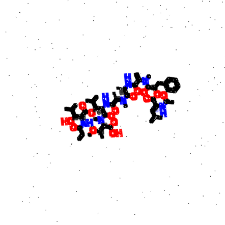 C=C(C(=O)N[C@@H](C)C(=O)N(C)[C@@H](C)C(=O)N[C@H](C(=O)N(C)[C@H](C(=O)O)[C@@H](C)OC)[C@H](OC(=O)[C@@H](NC(=O)CC)[C@H](O)C(C)C)C(C)C)N(C)C(=O)[C@@H](Cc1ccccc1)OC(=O)/C(=C/C(C)C)NC(C)=O